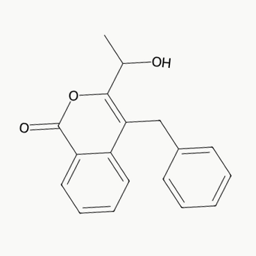 CC(O)c1oc(=O)c2ccccc2c1Cc1ccccc1